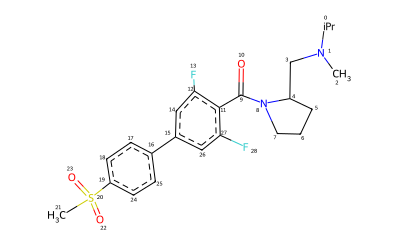 CC(C)N(C)CC1CCCN1C(=O)c1c(F)cc(-c2ccc(S(C)(=O)=O)cc2)cc1F